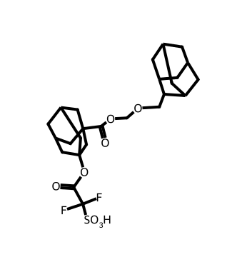 O=C(OCOCC1C2CC3CC(C2)CC1C3)C12CC3CC(CC(OC(=O)C(F)(F)S(=O)(=O)O)(C3)C1)C2